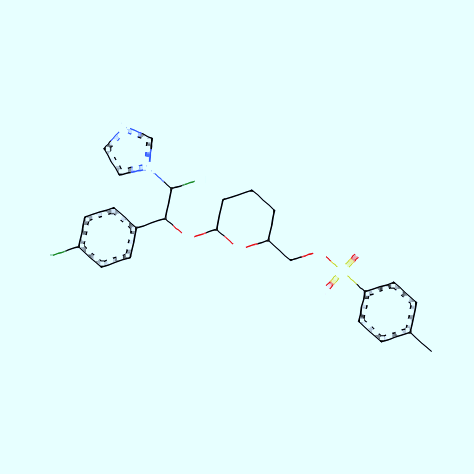 Cc1ccc(S(=O)(=O)OCC2CCCC(OC(c3ccc(Cl)cc3)C(Cl)n3ccnc3)O2)cc1